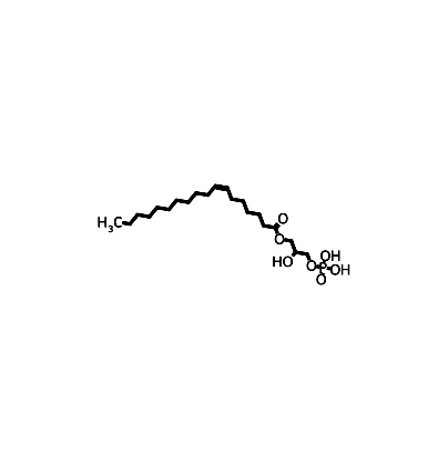 CCCCCCCCCC/C=C\CCCCCC(=O)OCC(O)COP(=O)(O)O